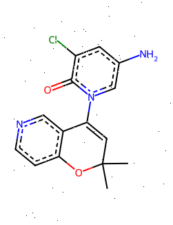 CC1(C)C=C(n2cc(N)cc(Cl)c2=O)c2cnccc2O1